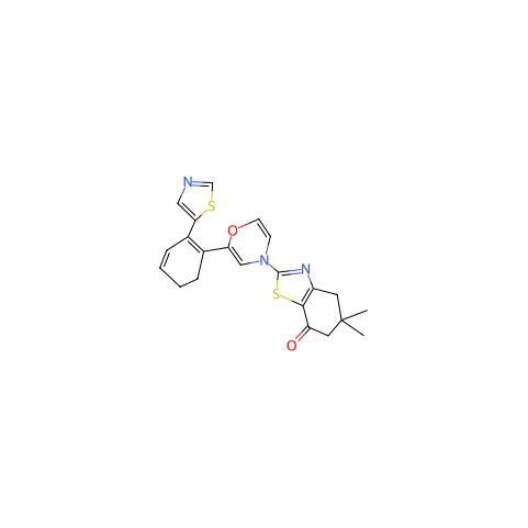 CC1(C)CC(=O)c2sc(N3C=COC(C4=C(c5cncs5)C=CCC4)=C3)nc2C1